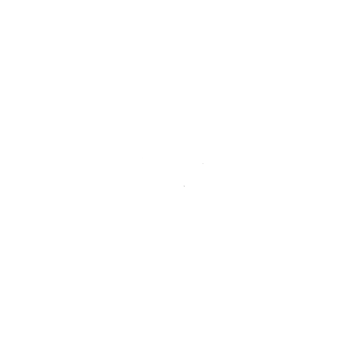 O=C(O)C(I)C1CC2CCC1C2